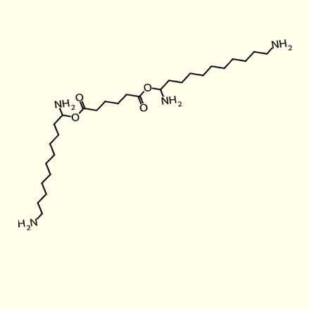 NCCCCCCCCCCC(N)OC(=O)CCCCC(=O)OC(N)CCCCCCCCCCN